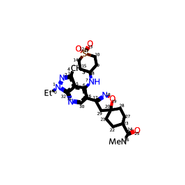 CCn1nc(C)c2c(NC3CCS(=O)(=O)CC3)c(C3=NOC4(CCC(C(=O)NC)CC4)C3)cnc21